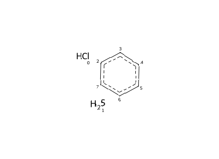 Cl.S.c1ccccc1